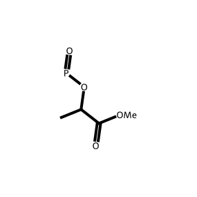 COC(=O)C(C)OP=O